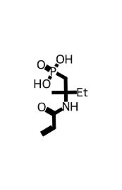 C=CC(=O)NC(C)(CC)CP(=O)(O)O